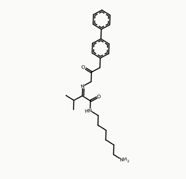 CC(C)C(=NCC(=O)Cc1ccc(-c2ccccc2)cc1)C(=O)NCCCCCCN